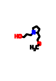 COCCC1CCCN1CCCO